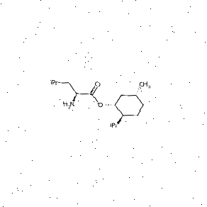 CC(C)C[C@H](N)C(=O)O[C@@H]1C[C@H](C)CC[C@H]1C(C)C